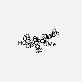 C=C1OCC2C(OC3OC4COC(C)OC4C(O)C3O)c3cc4c(cc3[C@@H](c3cc(OC)c(OC(=O)OCC5COCC(C)(C)CO5)c(OC)c3)[C@@H]12)OCO4